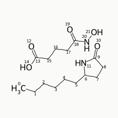 CCCCCCC1CCC(=O)N1.O=C(O)CCCC(=O)NO